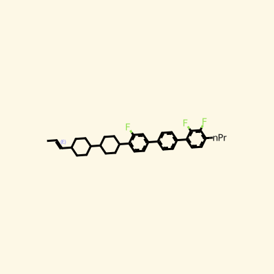 C/C=C/C1CCC(C2CCC(c3ccc(-c4ccc(-c5ccc(CCC)c(F)c5F)cc4)cc3F)CC2)CC1